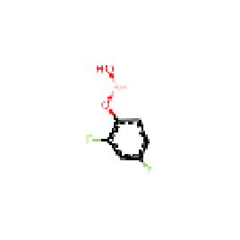 OBOc1ccc(F)cc1F